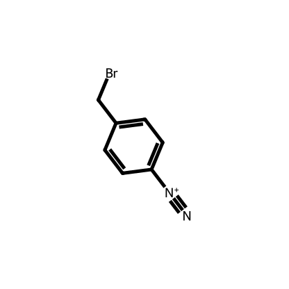 N#[N+]c1ccc(CBr)cc1